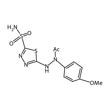 COc1ccc(N(Nc2nnc(S(N)(=O)=O)s2)C(C)=O)cc1